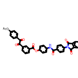 CC(=O)Oc1ccc(C(=O)C(=O)c2cccc(C(=O)Oc3ccc(NC(=O)c4ccc(N5C(=O)C6C7C=CC(C7)C6C5=O)cc4)cc3)c2)cc1